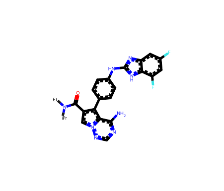 CCN(C(=O)c1cn2ncnc(N)c2c1-c1ccc(Nc2nc3cc(F)cc(F)c3[nH]2)cc1)C(C)C